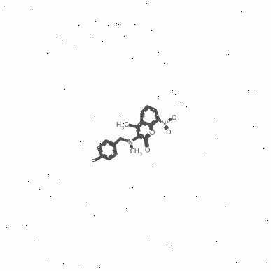 Cc1c(N(C)Cc2ccc(F)cc2)c(=O)oc2c([N+](=O)[O-])cccc12